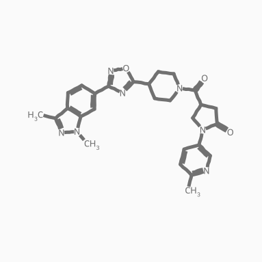 Cc1ccc(N2CC(C(=O)N3CCC(c4nc(-c5ccc6c(C)nn(C)c6c5)no4)CC3)CC2=O)cn1